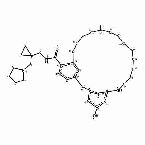 O=C(NCC1(CN2CCCC2)CC1)c1ccc2cc1OCCCNCCCCCCCCNc1nc(O)nc(n1)N2